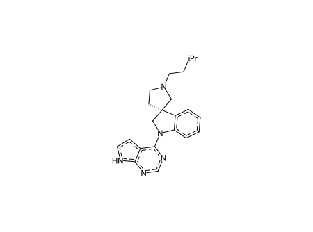 CC(C)CCN1CC[C@@]2(C1)CN(c1ncnc3[nH]ccc13)c1ccccc12